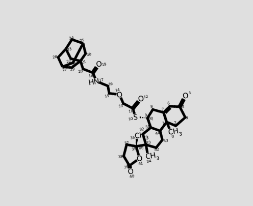 CC12CCC(=O)C=C1C[C@@H](SC(=O)COCCNC(=O)CC13CC4CC(CC(C4)C1)C3)C1CC(C)([C@@]3(C)CCC(=O)O3)CCC12